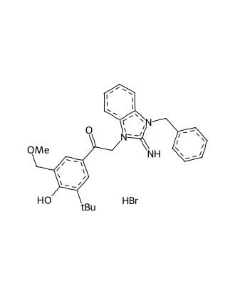 Br.COCc1cc(C(=O)Cn2c(=N)n(Cc3ccccc3)c3ccccc32)cc(C(C)(C)C)c1O